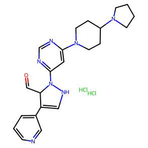 Cl.Cl.O=CC1C(c2cccnc2)=CNN1c1cc(N2CCC(N3CCCC3)CC2)ncn1